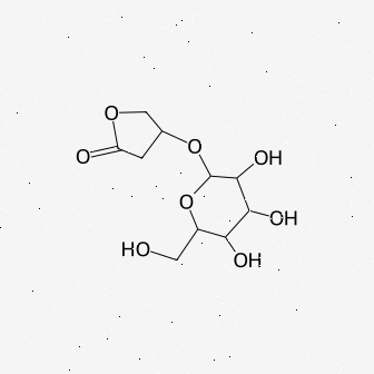 O=C1CC(OC2OC(CO)C(O)C(O)C2O)CO1